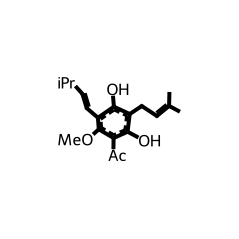 COc1c(C=CC(C)C)c(O)c(CC=C(C)C)c(O)c1C(C)=O